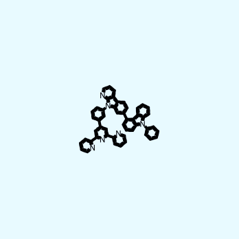 c1ccc(-n2c3ccccc3c3c(-c4ccc5c6cccnc6n(-c6cccc(-c7cc(-c8ccccn8)nc(-c8ccccn8)c7)c6)c5c4)cccc32)cc1